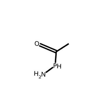 CC(=O)PN